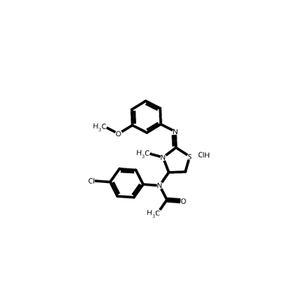 COc1cccc(N=C2SCC(N(C(C)=O)c3ccc(Cl)cc3)N2C)c1.Cl